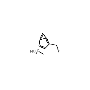 CC(=O)O.FCc1ccc2cc1-2